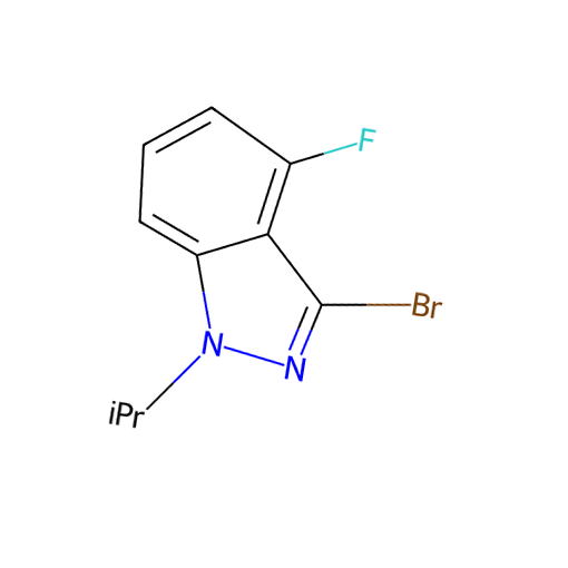 CC(C)n1nc(Br)c2c(F)cccc21